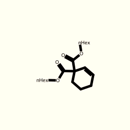 CCCCCCOC(=O)C1(C(=O)OCCCCCC)C=CCCC1